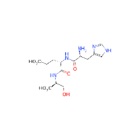 N[C@@H](Cc1c[nH]cn1)C(=O)N[C@@H](CCC(=O)O)C(=O)N[C@@H](CO)C(=O)O